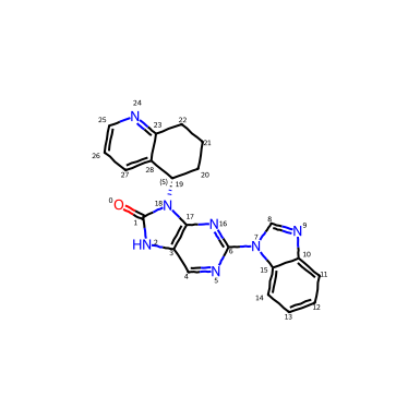 O=c1[nH]c2cnc(-n3cnc4ccccc43)nc2n1[C@H]1CCCc2ncccc21